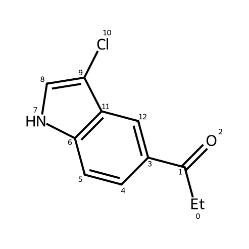 CCC(=O)c1ccc2[nH]cc(Cl)c2c1